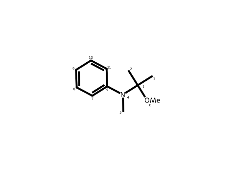 COC(C)(C)N(C)c1ccccc1